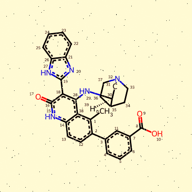 Cc1c(-c2cccc(C(=O)O)c2)ccc2[nH]c(=O)c(-c3nc4ccccc4[nH]3)c(N[C@H]3CN4CCC3CC4)c12